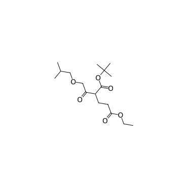 CCOC(=O)CCC(C(=O)COCC(C)C)C(=O)OC(C)(C)C